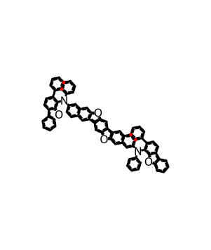 c1ccc(-c2ccc3c(oc4ccccc43)c2N(c2ccccc2)c2ccc3cc4c(cc3c2)oc2cc3c(cc24)oc2cc4cc(N(c5ccccc5)c5c(-c6ccccc6)ccc6c5oc5ccccc56)ccc4cc23)cc1